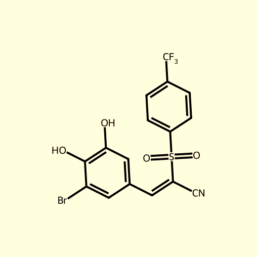 N#C/C(=C/c1cc(O)c(O)c(Br)c1)S(=O)(=O)c1ccc(C(F)(F)F)cc1